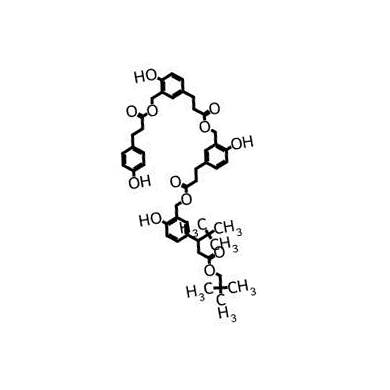 CC(C)(C)COC(=O)CC(c1ccc(O)c(COC(=O)CCc2ccc(O)c(COC(=O)CCc3ccc(O)c(COC(=O)CCc4ccc(O)cc4)c3)c2)c1)C(C)(C)C